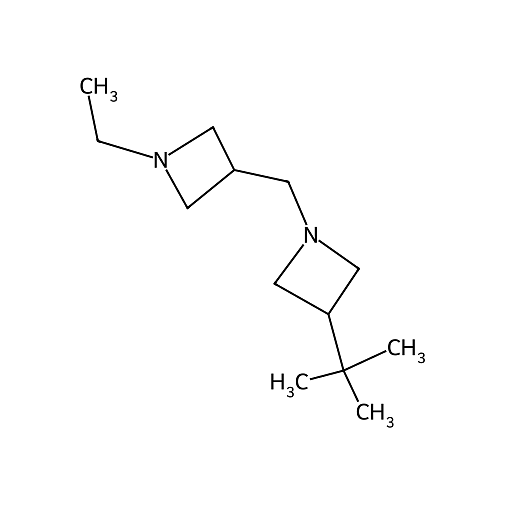 CCN1CC(CN2CC(C(C)(C)C)C2)C1